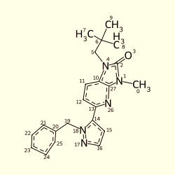 Cn1c(=O)n(CC(C)(C)C)c2ccc(-c3ccnn3Cc3ccccc3)nc21